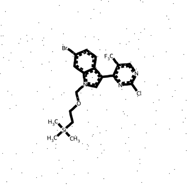 C[Si](C)(C)CCOCn1cc(-c2nc(Cl)ncc2C(F)(F)F)c2ccc(Br)cc21